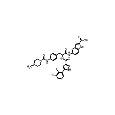 CN1CCN(C(=O)Nc2ccc(CC(NC(=O)c3cc(-c4cccc(Cl)c4F)[nH]n3)C(=O)Nc3ccc4[nH]c(C(=O)O)cc4c3)cc2)CC1